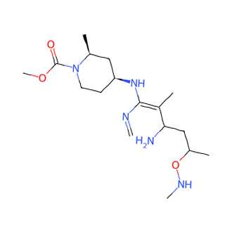 C=N/C(N[C@H]1CCN(C(=O)OC)[C@@H](C)C1)=C(/C)C(N)CC(C)ONC